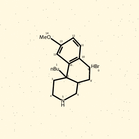 Br.CCCCC12CCNCC1CCc1ccc(OC)cc12